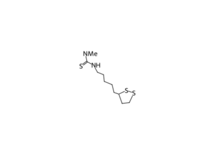 CNC(=S)NCCCCCC1CCSS1